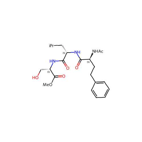 COC(=O)[C@H](CO)NC(=O)[C@H](CC(C)C)NC(=O)[C@H](CCc1ccccc1)NC(C)=O